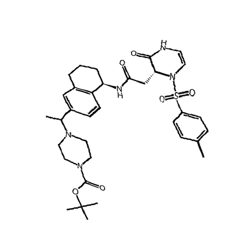 Cc1ccc(S(=O)(=O)N2C=CNC(=O)[C@H]2CC(=O)N[C@@H]2CCCc3cc(C(C)N4CCN(C(=O)OC(C)(C)C)CC4)ccc32)cc1